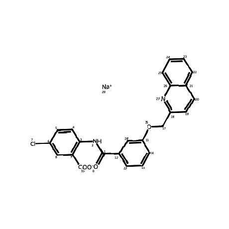 O=C(Nc1ccc(Cl)cc1C(=O)[O-])c1cccc(OCc2ccc3ccccc3n2)c1.[Na+]